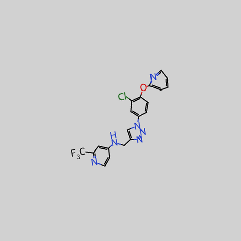 FC(F)(F)c1cc(NCc2cn(-c3ccc(Oc4ccccn4)c(Cl)c3)nn2)ccn1